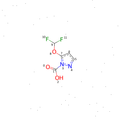 O=C(O)n1nccc1OC(F)F